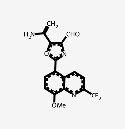 C=C(N)c1oc(-c2ccc(OC)c3nc(C(F)(F)F)ccc23)nc1C=O